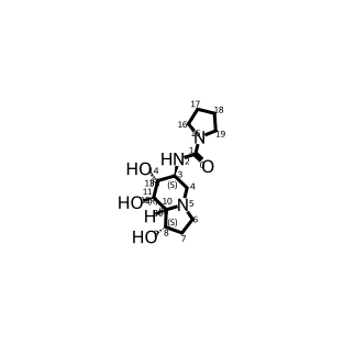 O=C(N[C@H]1CN2CC[C@H](O)[C@@H]2[C@@H](O)[C@@H]1O)N1CCCC1